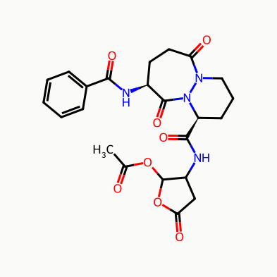 CC(=O)OC1OC(=O)CC1NC(=O)[C@@H]1CCCN2C(=O)CC[C@H](NC(=O)c3ccccc3)C(=O)N12